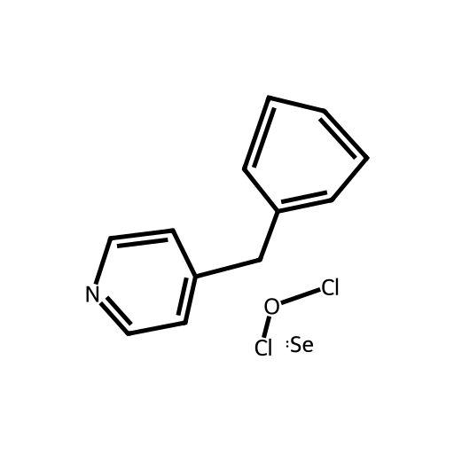 ClOCl.[Se].c1ccc(Cc2ccncc2)cc1